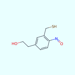 O=Nc1ccc(CCO)cc1CS